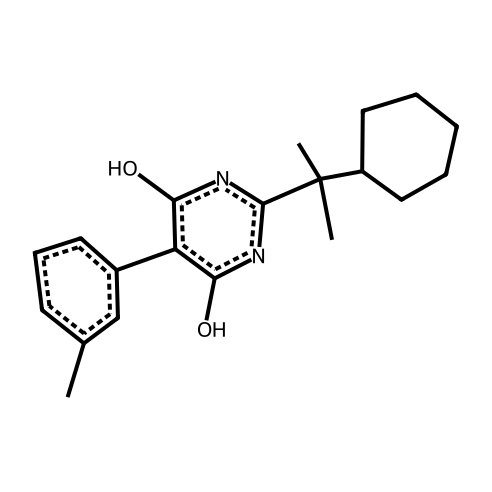 Cc1cccc(-c2c(O)nc(C(C)(C)C3CCCCC3)nc2O)c1